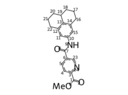 COC(=O)c1ccc(C(=O)Nc2cc3c4c(c2)CCCC4CCC3)cn1